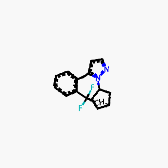 CC(F)(F)c1ccccc1-c1ccnn1C1CCCC1